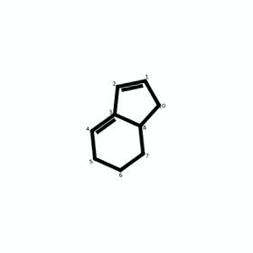 [C]1C=CC2=CCCCC12